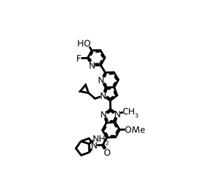 COc1cc(C(=O)N2CC3CCC2C3N)cc2nc(-c3cc4ccc(-c5ccc(O)c(F)n5)nc4n3CC3CC3)n(C)c12